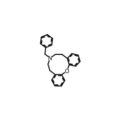 c1ccc(CN2CCc3ccccc3Oc3ccccc3CC2)cc1